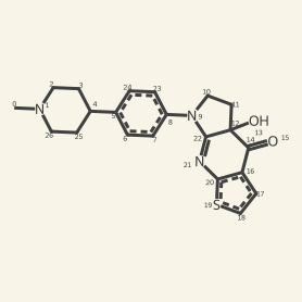 CN1CCC(c2ccc(N3CCC4(O)C(=O)c5ccsc5N=C34)cc2)CC1